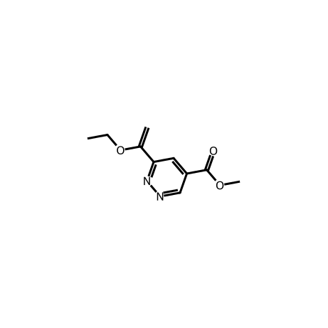 C=C(OCC)c1cc(C(=O)OC)cnn1